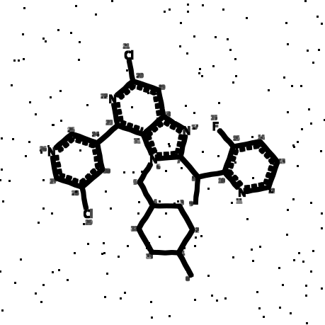 CC1CCC(Cn2c(C(C)c3ncccc3F)nc3cc(Cl)nc(-c4cncc(Cl)c4)c32)CC1